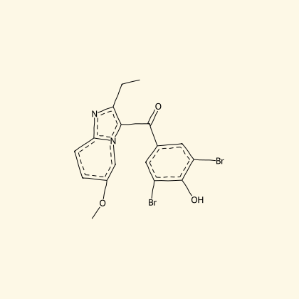 CCc1nc2ccc(OC)cn2c1C(=O)c1cc(Br)c(O)c(Br)c1